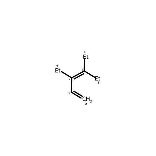 C=CC(CC)=C(CC)CC